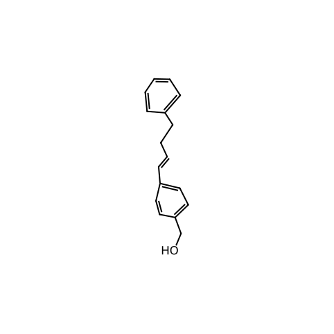 OCc1ccc(/C=C/CCc2ccccc2)cc1